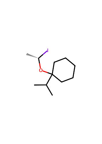 CC(C)C1(O[C@H](C)I)CCCCC1